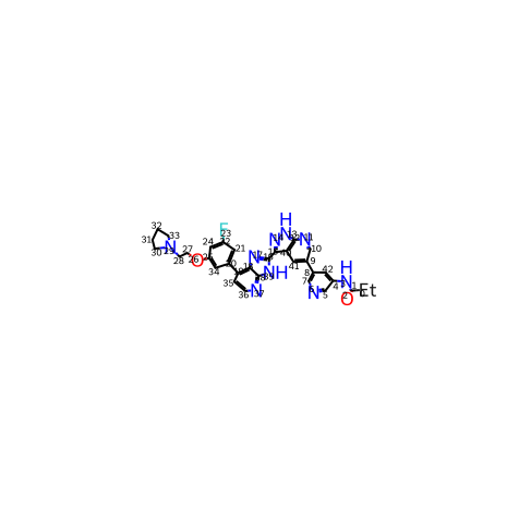 CCC(=O)Nc1cncc(-c2cnc3[nH]nc(-c4nc5c(-c6cc(F)cc(OCCN7CCCC7)c6)ccnc5[nH]4)c3c2)c1